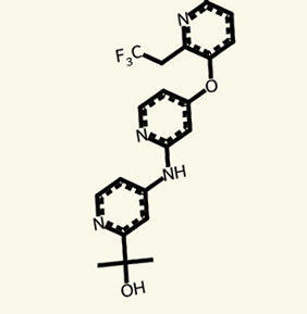 Cc1ccc(Oc2ccnc(Nc3ccnc(C(C)(C)O)c3)c2)c(CC(F)(F)F)n1